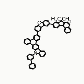 CC1(C)c2cc(-c3ccc4oc5ccc(-c6ccc7c(c6)c6ccccc6c6cc8c(cc76)c6ccccc6n8-c6cccc(-c7ccccc7)c6)cc5c4c3)ccc2-c2c1ccc1ccccc21